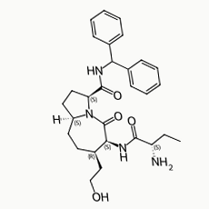 CC[C@H](N)C(=O)N[C@@H]1C(=O)N2[C@@H](CC[C@@H]1CCO)CC[C@H]2C(=O)NC(c1ccccc1)c1ccccc1